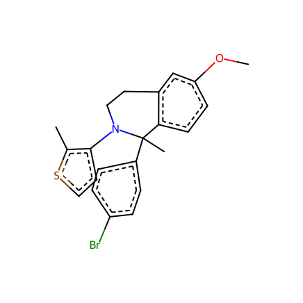 COc1ccc2c(c1)CCN(c1ccsc1C)C2(C)c1ccc(Br)cc1